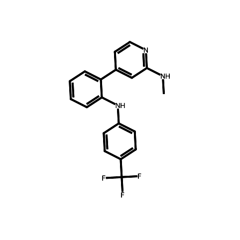 CNc1cc(-c2ccccc2Nc2ccc(C(F)(F)F)cc2)ccn1